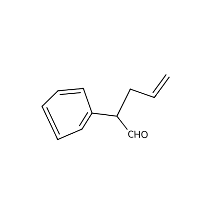 C=CCC(C=O)c1ccccc1